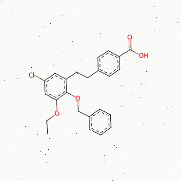 CCOc1cc(Cl)cc(CCc2ccc(C(=O)O)cc2)c1OCc1ccccc1